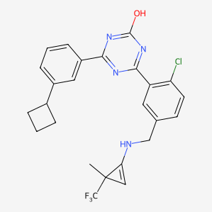 CC1(C(F)(F)F)C=C1NCc1ccc(Cl)c(-c2nc(O)nc(-c3cccc(C4CCC4)c3)n2)c1